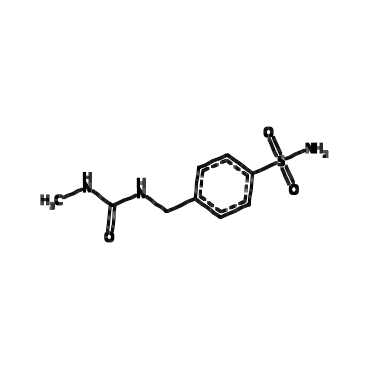 CNC(=O)NCc1ccc(S(N)(=O)=O)cc1